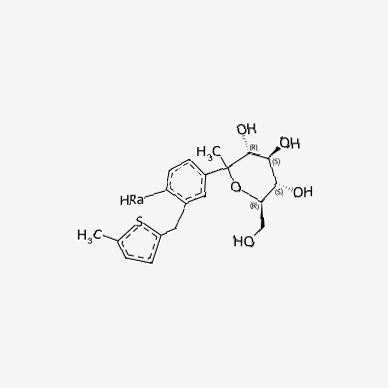 Cc1ccc(Cc2cc(C3(C)O[C@H](CO)[C@@H](O)[C@H](O)[C@H]3O)cc[c]2[RaH])s1